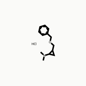 CN(C)C1CC1COCc1ccccc1.Cl